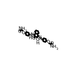 NC(=O)COc1ccc(N=Nc2c(O)c(O)c(N=Nc3ccc(OCC(N)=O)cc3)c3ccccc23)cc1